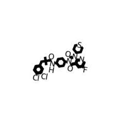 CC(C)(Cc1ccc(Cl)c(Cl)c1)C(=O)NC1CCC(n2c(=O)c3cc(F)cnc3n(C3CCSCC3)c2=O)CC1